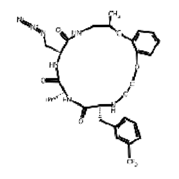 CC(C)[C@H]1NC(=O)[C@@H](Cc2cccc(C(F)(F)F)c2)NCCOc2ccccc2C[C@H](C)CNC(=O)[C@H](CN=[N+]=[N-])NC1=O